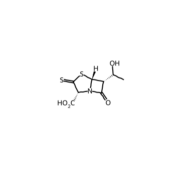 CC(O)[C@@H]1C(=O)N2[C@H](C(=O)O)C(=S)S[C@H]12